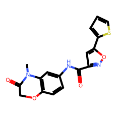 CN1C(=O)COc2ccc(NC(=O)c3cc(-c4cccs4)on3)cc21